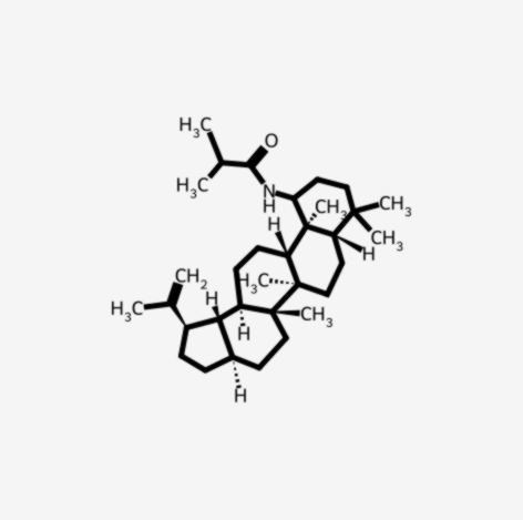 C=C(C)[C@@H]1CC[C@@H]2CC[C@]3(C)[C@H](CC[C@@H]4[C@@]5(C)C(NC(=O)C(C)C)CCC(C)(C)[C@@H]5CC[C@]43C)[C@H]21